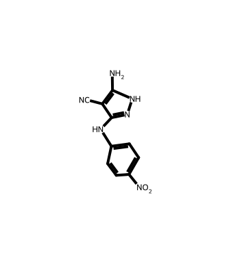 N#Cc1c(Nc2ccc([N+](=O)[O-])cc2)n[nH]c1N